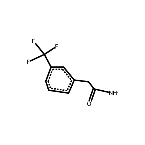 [NH]C(=O)Cc1cccc(C(F)(F)F)c1